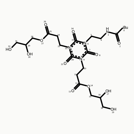 CCC(C)C(=O)NCCn1c(=O)n(CCC(=O)OCC(O)CO)c(=O)n(CCC(=O)OCC(O)CO)c1=O